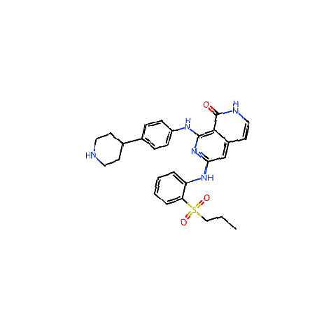 CCCS(=O)(=O)c1ccccc1Nc1cc2cc[nH]c(=O)c2c(Nc2ccc(C3CCNCC3)cc2)n1